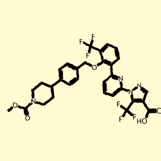 COC(=O)N1CCC(c2ccc(COc3c(-c4cccc(-n5ncc(C(=O)O)c5C(F)(F)F)n4)cccc3C(F)(F)F)cc2)CC1